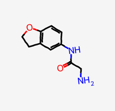 NCC(=O)Nc1ccc2c(c1)CCO2